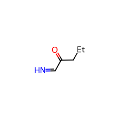 CCCC(=O)C=N